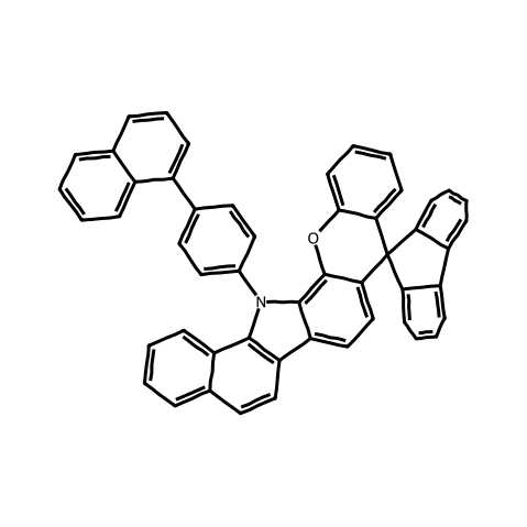 c1ccc2c(c1)Oc1c(ccc3c4ccc5ccccc5c4n(-c4ccc(-c5cccc6ccccc56)cc4)c13)C21c2ccccc2-c2ccccc21